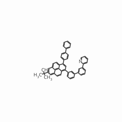 CC(C)(C)c1cc2ccc3c(-c4ccc(-c5ccccc5)cc4)cc(-c4cccc(-c5cccc(-c6ccccn6)c5)c4)c4ccc(c1)c2c34